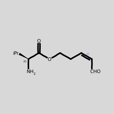 CC(C)[C@H](N)C(=O)OCC/C=C\C=O